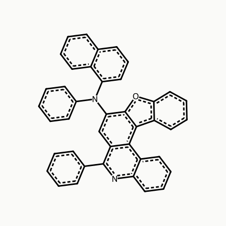 c1ccc(-c2nc3ccccc3c3c2cc(N(c2ccccc2)c2cccc4ccccc24)c2oc4ccccc4c23)cc1